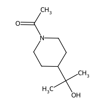 CC(=O)N1CCC(C(C)(C)O)CC1